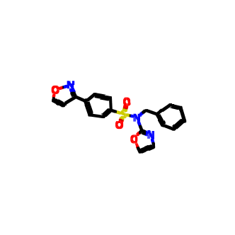 O=S(=O)(c1ccc(-c2ccon2)cc1)N(Cc1ccccc1)c1ncco1